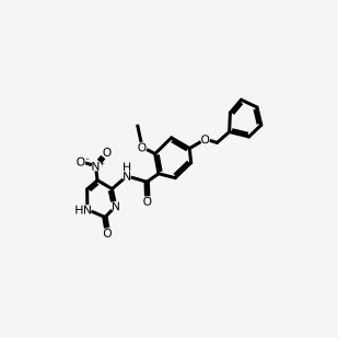 COc1cc(OCc2ccccc2)ccc1C(=O)Nc1nc(=O)[nH]cc1[N+](=O)[O-]